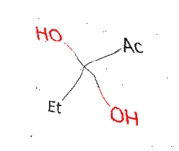 [CH2]CC(O)(O)C(C)=O